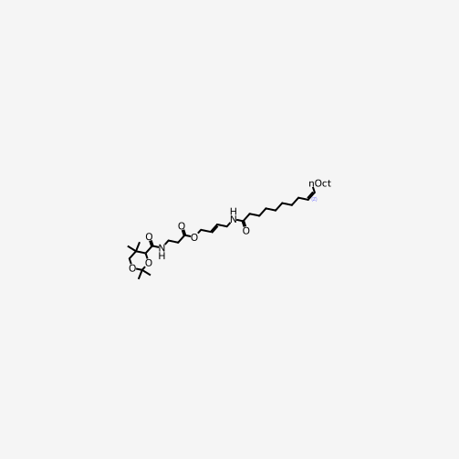 CCCCCCCC/C=C\CCCCCCCC(=O)NCC=CCOC(=O)CCNC(=O)C1OC(C)(C)OCC1(C)C